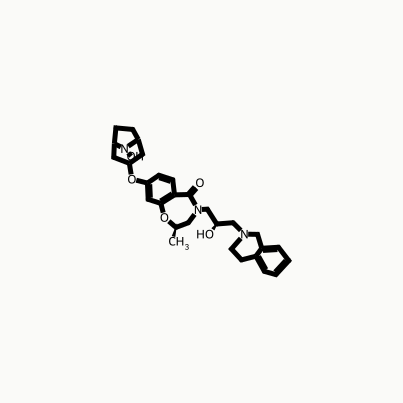 C[C@@H]1CN(C[C@H](O)CN2CCc3ccccc3C2)C(=O)c2ccc(OC3CC4CCC(C3)N4O)cc2O1